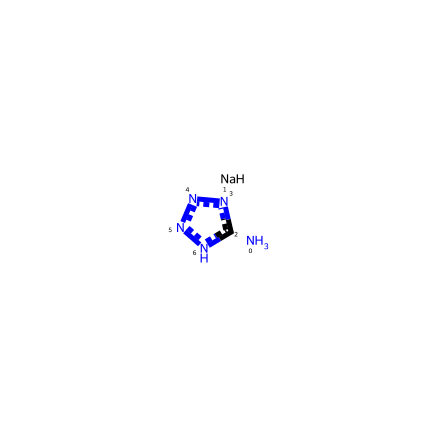 N.[NaH].c1nnn[nH]1